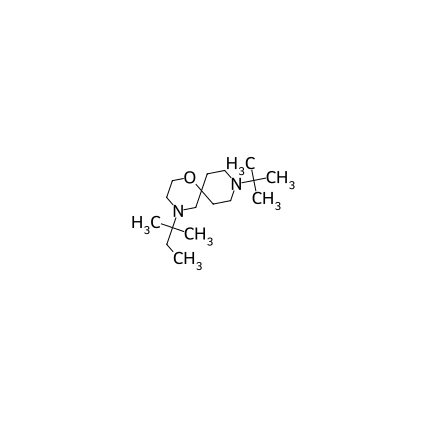 CCC(C)(C)N1CCOC2(CCN(C(C)(C)C)CC2)C1